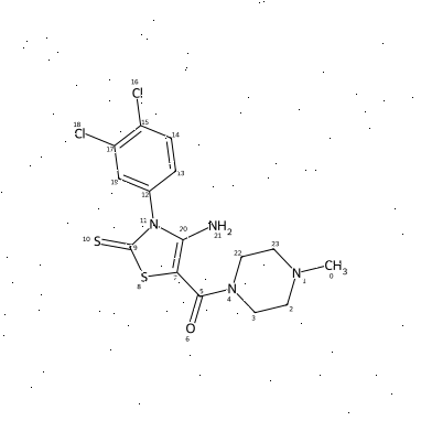 CN1CCN(C(=O)c2sc(=S)n(-c3ccc(Cl)c(Cl)c3)c2N)CC1